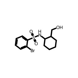 O=S(=O)(NC1CCCCC1CO)c1ccccc1Br